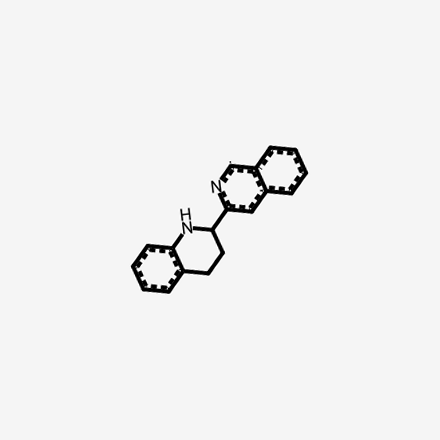 [c]1nc(C2CCc3ccccc3N2)cc2ccccc12